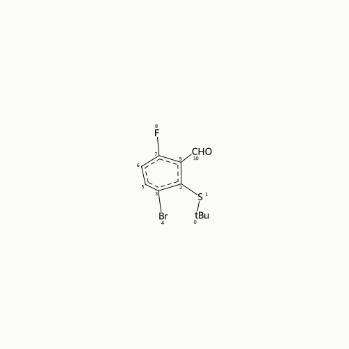 CC(C)(C)Sc1c(Br)ccc(F)c1C=O